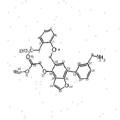 CCOC(=O)Cc1ccccc1OCc1cc(-c2cccc(CN)c2)c2occc2c1OCC(=O)OC(C)(C)C